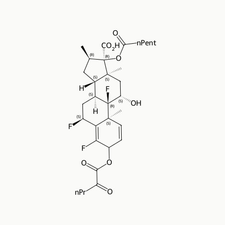 CCCCCC(=O)O[C@]1(C(=O)O)[C@H](C)C[C@H]2[C@@H]3C[C@H](F)C4=C(F)C(OC(=O)C(=O)CCC)C=C[C@]4(C)[C@@]3(F)[C@@H](O)C[C@@]21C